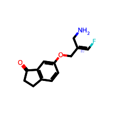 NC/C(=C\F)COc1ccc2c(c1)C(=O)CC2